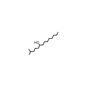 CCCCCCCCC(O)CCCC(C)C